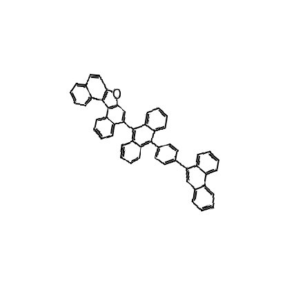 c1ccc2c(c1)cc(-c1ccc(-c3c4ccccc4c(-c4cc5oc6ccc7ccccc7c6c5c5ccccc45)c4ccccc34)cc1)c1ccccc12